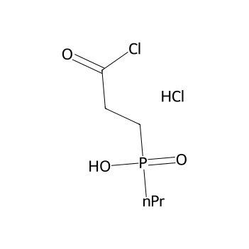 CCCP(=O)(O)CCC(=O)Cl.Cl